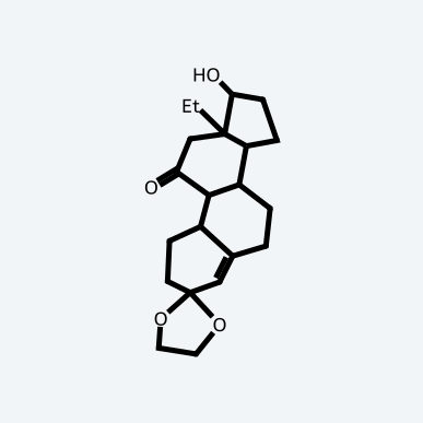 CCC12CC(=O)C3C4CCC5(C=C4CCC3C1CCC2O)OCCO5